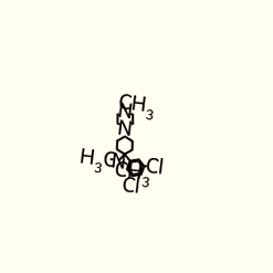 CN1CCN(C2CCC(c3cc(Cl)cc(Cl)c3)(N(C)C)CC2)CC1